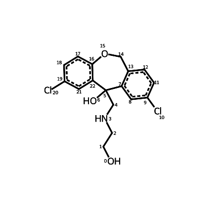 OCCNCC1(O)c2cc(Cl)ccc2COc2ccc(Cl)cc21